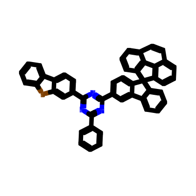 c1ccc(-c2nc(-c3ccc4c(c3)-c3ccccc3C43c4cccc5ccc6cccc3c6c45)nc(-c3ccc4c(c3)sc3ccccc34)n2)cc1